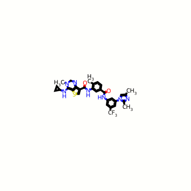 Cc1cn(-c2cc(NC(=O)c3ccc(C)c(NC(=O)c4csc5c4=NCN(C)C=5NC4CC4)c3)cc(C(F)(F)F)c2)c(C)n1